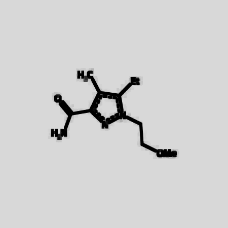 CCc1c(C)c(C(N)=O)nn1CCOC